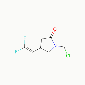 O=C1CC(C=C(F)F)CN1CCl